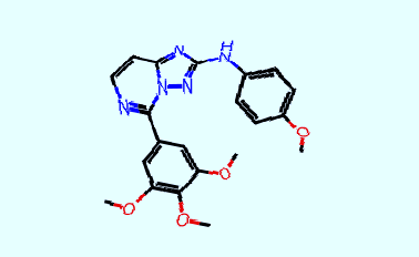 COc1ccc(Nc2nc3ccnc(-c4cc(OC)c(OC)c(OC)c4)n3n2)cc1